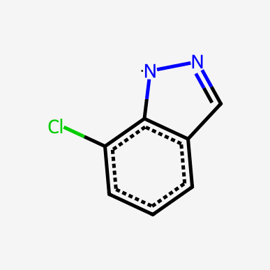 Clc1cccc2c1[N]N=C2